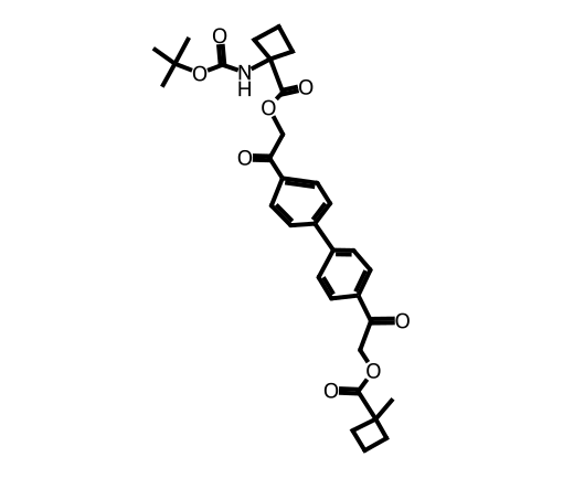 CC(C)(C)OC(=O)NC1(C(=O)OCC(=O)c2ccc(-c3ccc(C(=O)COC(=O)C4(C)CCC4)cc3)cc2)CCC1